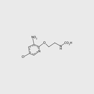 O=C(O)NCCOc1ncc(Cl)cc1[N+](=O)[O-]